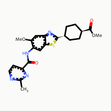 COc1cc2nc([C@H]3CC[C@H](C(=O)OC)CC3)sc2cc1NC(=O)c1ccnc(C)n1